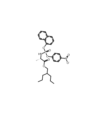 CCCC(CCC)COC(=O)[C@H](C)NP(=O)(Oc1ccc([N+](=O)[O-])cc1)Oc1cccc2ccccc12